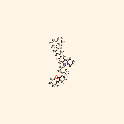 CC1(C)c2cc(-n3c4ccccc4c4cc(-c5ccc(-c6cccc7ccccc67)cc5)ccc43)ccc2-c2c1ccc1c2oc2ccccc21